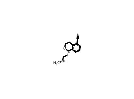 CNCC[C@@H]1OCCc2c(C#N)cccc21